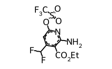 CCOC(=O)c1c(C(F)F)cc(OS(=O)(=O)C(F)(F)F)nc1N